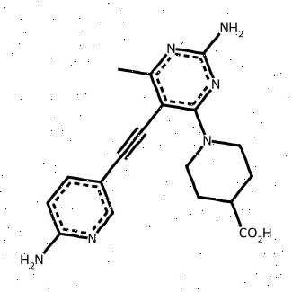 Cc1nc(N)nc(N2CCC(C(=O)O)CC2)c1C#Cc1ccc(N)nc1